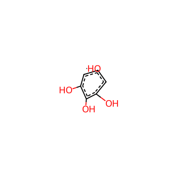 Oc1cccc(O)c1O.[OH]